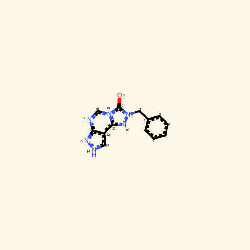 O=c1n(Cc2ccccc2)nc2c3c[nH]nc3ncn12